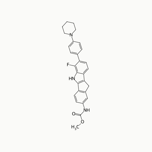 COC(=O)Nc1ccc2c(c1)Cc1c-2[nH]c2c(F)c(-c3ccc(N4CCCCC4)cc3)ccc12